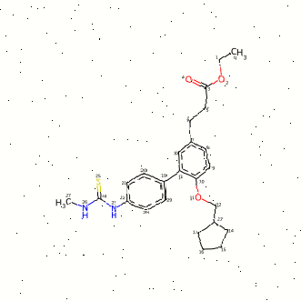 CCOC(=O)CCc1ccc(OCC2CCCC2)c(-c2ccc(NC(=S)NC)cc2)c1